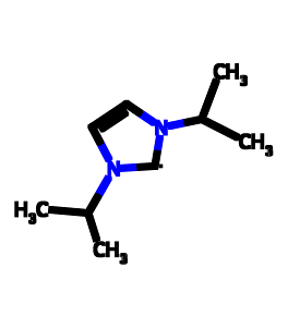 CC(C)N1[CH]N(C(C)C)C=C1